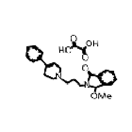 COC1c2ccccc2C(=O)N1CCCN1CC=C(c2ccccc2)CC1.O=C(O)C(=O)O